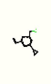 C=Cc1cc(CCl)cc(C2CC2)c1